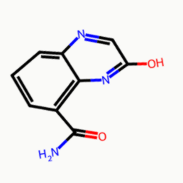 NC(=O)c1cccc2ncc(O)nc12